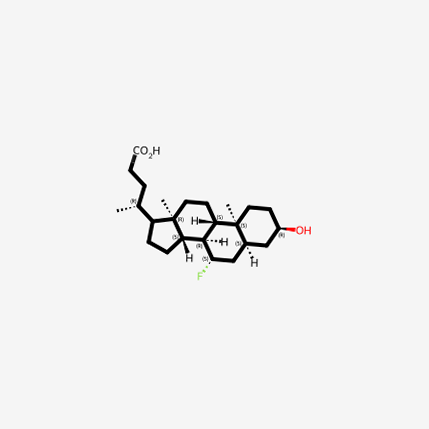 C[C@H](CCC(=O)O)C1CC[C@H]2[C@@H]3[C@@H](F)C[C@@H]4C[C@H](O)CC[C@]4(C)[C@H]3CC[C@]12C